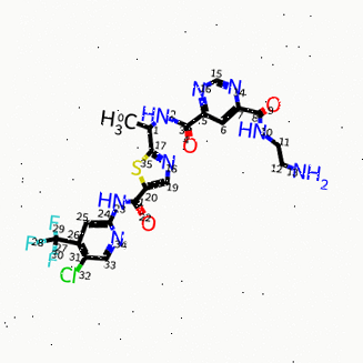 CC(NC(=O)c1cc(C(=O)NCCN)ncn1)c1ncc(C(=O)Nc2cc(C(F)(F)F)c(Cl)cn2)s1